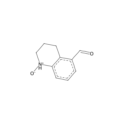 O=Cc1cccc2c1CCC[NH+]2[O-]